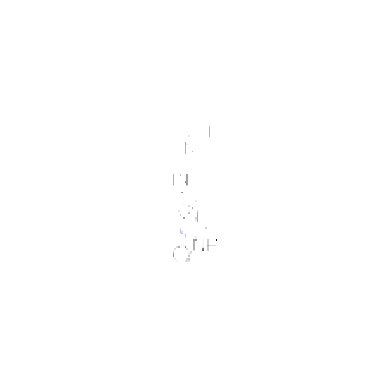 CCN(CC)CCCNOCc1c(C)[nH]c2c1CCC/C2=C1/C(=O)Nc2ccc(F)cc21